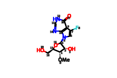 CO[C@H]1[C@@H](O)[C@H](n2cc(F)c3c(=O)[nH]cnc32)O[C@@H]1CO